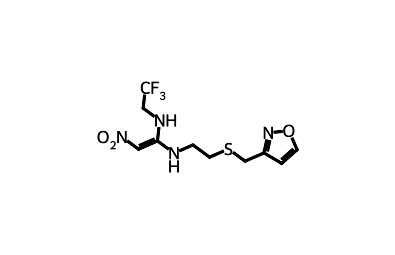 O=[N+]([O-])C=C(NCCSCc1ccon1)NCC(F)(F)F